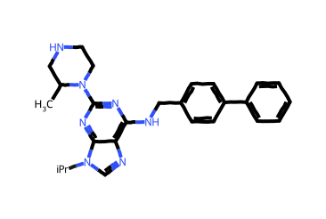 CC1CNCCN1c1nc(NCc2ccc(-c3ccccc3)cc2)c2ncn(C(C)C)c2n1